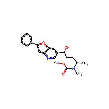 CC(CCC(O)c1cnc2cc(-c3ccccc3)oc2c1)N(C)C(=O)OC(C)(C)C